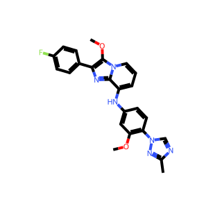 COc1cc(Nc2cccn3c(OC)c(-c4ccc(F)cc4)nc23)ccc1-n1cnc(C)n1